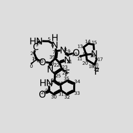 C[C@H]1CCNCNc2nc(OCC34CCCN3C[C@H](F)C4)nc3c(F)c(-c4[nH]c(=O)cc5ccccc45)nc(c23)O1